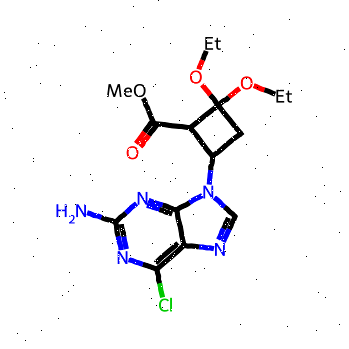 CCOC1(OCC)CC(n2cnc3c(Cl)nc(N)nc32)C1C(=O)OC